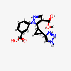 COC(=O)c1cnn(-c2cccc(C(=O)O)c2)c1C1CC1c1cn(C)nn1